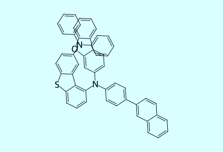 c1ccc(N(c2ccccc2)c2ccc3sc4cccc(N(c5ccc(-c6ccc7ccccc7c6)cc5)c5ccc6c(c5)oc5ccccc56)c4c3c2)cc1